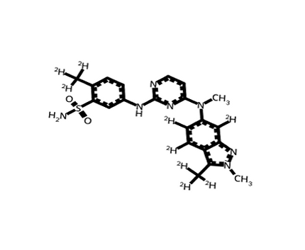 [2H]c1c(N(C)c2ccnc(Nc3ccc(C([2H])([2H])[2H])c(S(N)(=O)=O)c3)n2)c([2H])c2nn(C)c(C([2H])([2H])[2H])c2c1[2H]